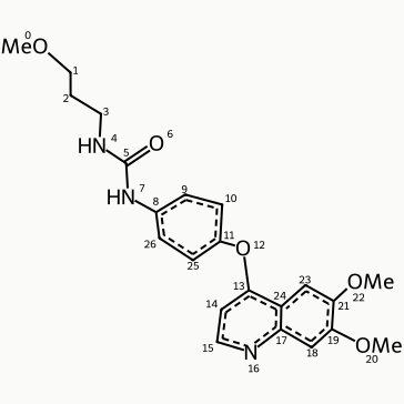 COCCCNC(=O)Nc1ccc(Oc2ccnc3cc(OC)c(OC)cc23)cc1